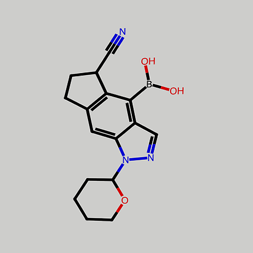 N#CC1CCc2cc3c(cnn3C3CCCCO3)c(B(O)O)c21